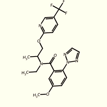 CCN(C(=O)c1cc(OC)ccc1-n1nccn1)C(C)COc1ccc(C(F)(F)F)cn1